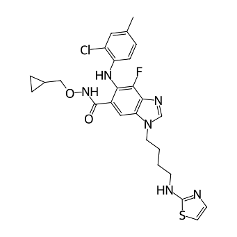 Cc1ccc(Nc2c(C(=O)NOCC3CC3)cc3c(ncn3CCCCNc3nccs3)c2F)c(Cl)c1